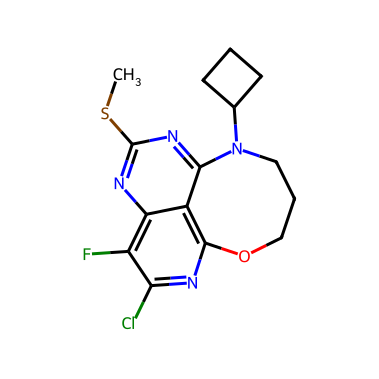 CSc1nc2c3c(nc(Cl)c(F)c3n1)OCCCN2C1CCC1